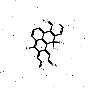 BC1(B)C(/C=C\C)=C(C=C)c2cccc3c(C(C)C)c(=C/C=C)/c(=C\C=C)c1c23